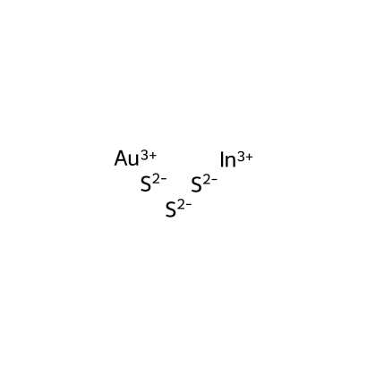 [Au+3].[In+3].[S-2].[S-2].[S-2]